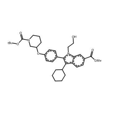 COC(=O)c1ccc2c(C3CCCCC3)c(-c3ccc(OC4CCCN(C(=O)OC(C)(C)C)C4)cc3)n(CCO)c2c1